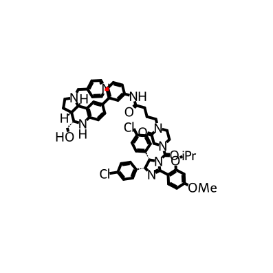 COc1ccc(C2=N[C@H](c3ccc(Cl)cc3)[C@H](c3ccc(Cl)cc3)N2C(=O)N2CCN(CCCC(=O)Nc3cccc(-c4ccc5c(c4)[C@H]4[C@H](CCN4Cc4ccncc4)[C@@H](CO)N5)c3)C(=O)C2)c(OC(C)C)c1